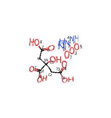 N=O.N=O.N=O.O=C(O)CC(O)(CC(=O)O)C(=O)O